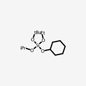 CCO[Si](OC(C)C)(OC1CCCCC1)OC(C)(C)C